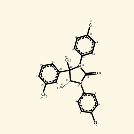 CCC[C@H]1N(c2ccc(Cl)cc2)C(=O)N(c2ccc(Cl)cc2)C1(O)c1cccc(C(F)(F)F)c1